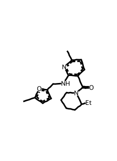 CCC1CCCCN1C(=O)c1ccc(C)nc1NCc1ccc(C)o1